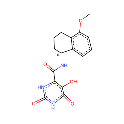 COc1cccc2c1CCC[C@H]2NC(=O)c1[nH]c(=O)[nH]c(=O)c1O